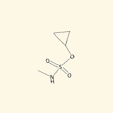 CNS(=O)(=O)OC1CC1